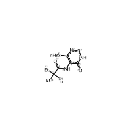 CCCCCCc1nn[nH]c(=O)c1NC(=O)C(CC)(CC)CC